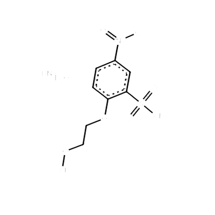 COCCOc1ccc([N+](=O)[O-])cc1S(=O)(=O)O.O.[NaH]